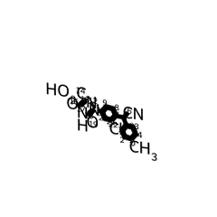 Cc1ccc(C(C#N)c2ccc(-n3nc(C(=O)O)c(=O)[nH]c3=O)cc2Cl)cc1